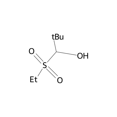 CCS(=O)(=O)C(O)C(C)(C)C